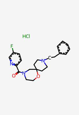 Cl.O=C(c1ccc(F)cn1)N1CCOC2(CCN(CCc3ccccc3)CC2)C1